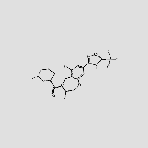 CC1COc2cc(C3=NOC(C(F)(F)F)N3)cc(F)c2CN1C(=O)C1CCCN(C)C1